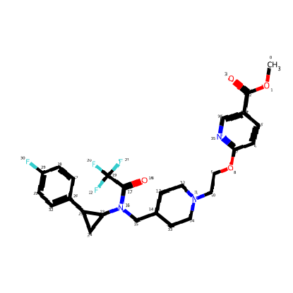 COC(=O)c1ccc(OCCN2CCC(CN(C(=O)C(F)(F)F)C3CC3c3ccc(F)cc3)CC2)nc1